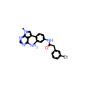 CCc1cccc(CC(=O)Nc2ccc(-c3cn(C)c4ncnc(N)c34)c(C)c2)c1